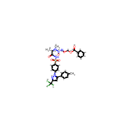 Cc1ccc(-c2cc(C(F)(F)F)nn2-c2ccc(S(=O)(=O)NC(=O)[C@H](C)N(C)/[N+]([O-])=N/OCOC(=O)c3ccccc3)cc2)cc1